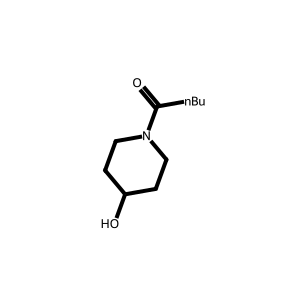 CCCCC(=O)N1CCC(O)CC1